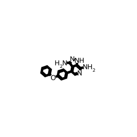 Nc1ncc(-c2ccc(Oc3ccccc3)cc2)c2c(N)n[nH]c12